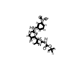 Cc1nc(NC(=O)OC(C)(C)C)sc1-c1nc(Nc2cccc([N+](=O)[O-])c2)ncc1F